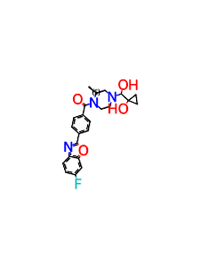 C[C@H]1CN(C(O)C2(O)CC2)CCN1C(=O)c1ccc(-c2nc3ccc(F)cc3o2)cc1